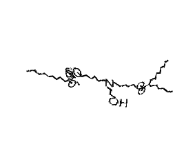 CCCCCCCCCC(OCC)O[Si](C)(C)OCCCCCCN(CCCCO)CCCCCCOC(=O)C(CCCCCC)CCCCCCCC